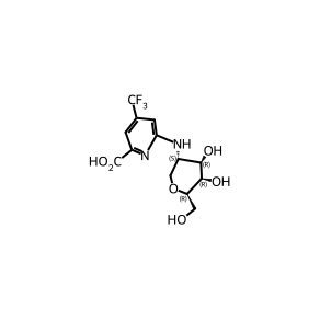 O=C(O)c1cc(C(F)(F)F)cc(N[C@H]2CO[C@H](CO)[C@H](O)[C@@H]2O)n1